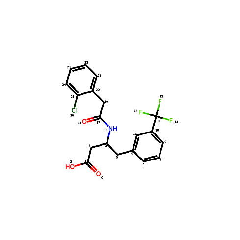 O=C(O)CC(Cc1cccc(C(F)(F)F)c1)NC(=O)Cc1ccccc1Cl